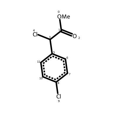 COC(=O)C(Cl)c1ccc(Cl)cc1